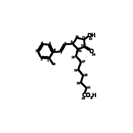 Cc1ccccc1/C=C/C1CC(O)C(=O)C1CCCCCCC(=O)O